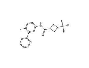 Cc1ccc(NC(=O)C2CC(C(F)(F)F)C2)cc1-c1ccccn1